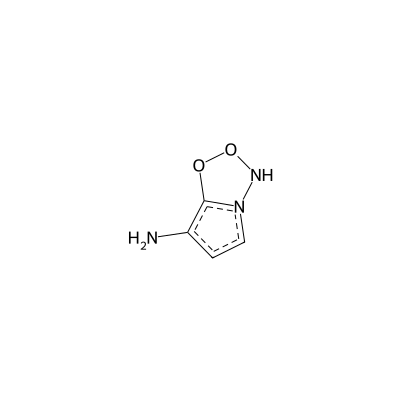 Nc1ccn2c1OON2